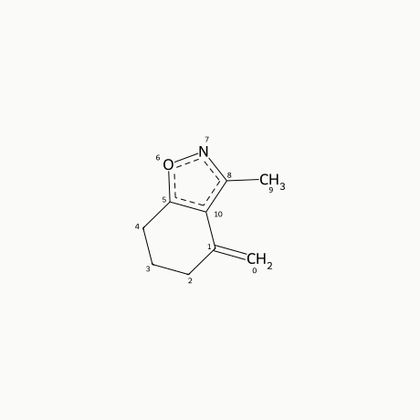 C=C1CCCc2onc(C)c21